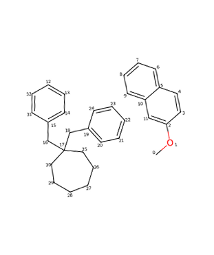 COc1ccc2ccccc2c1.c1ccc(CC2(Cc3ccccc3)CCCCCC2)cc1